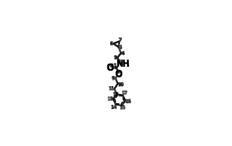 O=C(NCCC1CC1)OCCCc1ccccc1